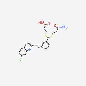 NC(=O)CCSC(SCCC(=O)O)c1cccc(C=Cc2ccc3ccc(Cl)cc3n2)c1